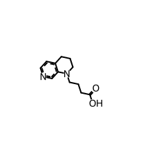 O=C(O)CCCN1CCCc2ccncc21